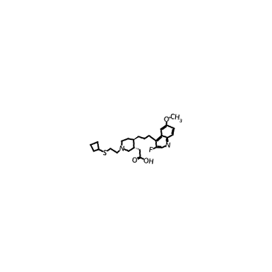 COc1ccc2ncc(F)c(CCC[C@@H]3CCN(CCSC4CCC4)C[C@H]3CC(=O)O)c2c1